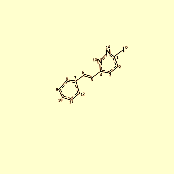 Ic1ccc(C=Cc2ccccc2)nn1